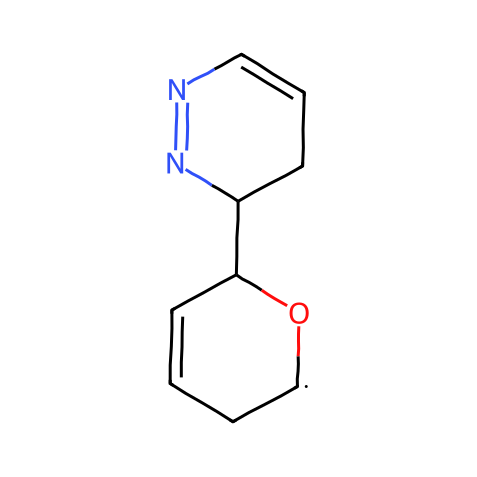 [CH]1CC=CC(C2CC=CN=N2)O1